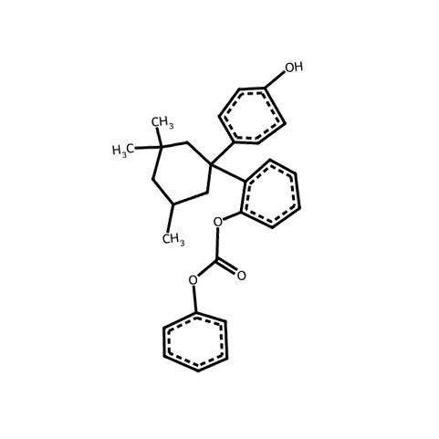 CC1CC(C)(C)CC(c2ccc(O)cc2)(c2ccccc2OC(=O)Oc2ccccc2)C1